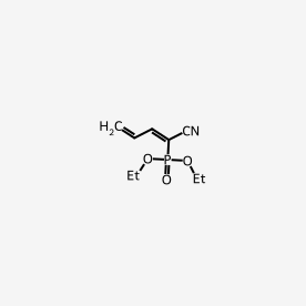 C=CC=C(C#N)P(=O)(OCC)OCC